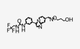 O=C(NCC(F)(F)F)Nc1cccc(-c2cnc3cc(C=NOCCCO)ccn23)c1